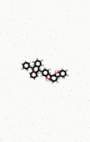 c1ccc(-c2c3ccccc3c(-c3ccc4c(c3)oc3ccc5c6ccccc6oc5c34)c3ccccc23)cc1